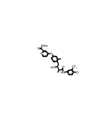 CNC(=O)c1cc(Oc2ccc(CC(O)C(C)C(=O)Nc3ccc(Cl)c(C(F)(F)F)c3)c(C)c2)ccn1